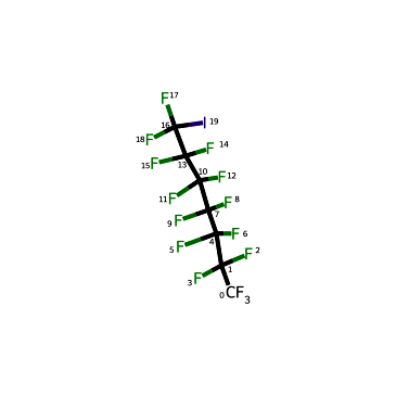 FC(F)(F)C(F)(F)C(F)(F)C(F)(F)C(F)(F)C(F)(F)C(F)(F)I